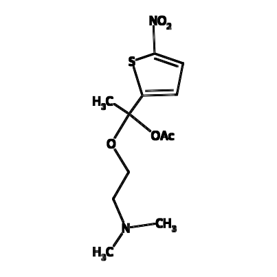 CC(=O)OC(C)(OCCN(C)C)c1ccc([N+](=O)[O-])s1